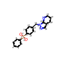 O=S(=O)(c1ccccc1)c1ccc(Cn2ncc3cccnc32)cc1